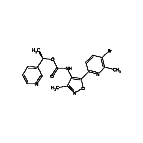 Cc1nc(-c2onc(C)c2NC(=O)O[C@H](C)c2cccnc2)ccc1Br